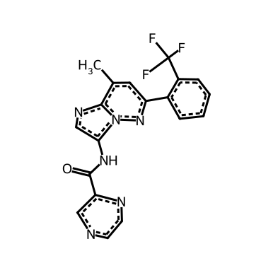 Cc1cc(-c2ccccc2C(F)(F)F)nn2c(NC(=O)c3cnccn3)cnc12